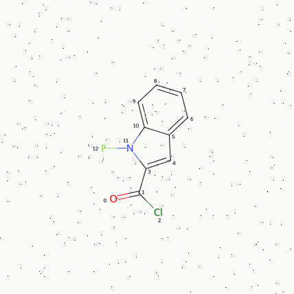 O=C(Cl)c1cc2ccccc2n1F